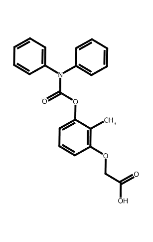 Cc1c(OCC(=O)O)cccc1OC(=O)N(c1ccccc1)c1ccccc1